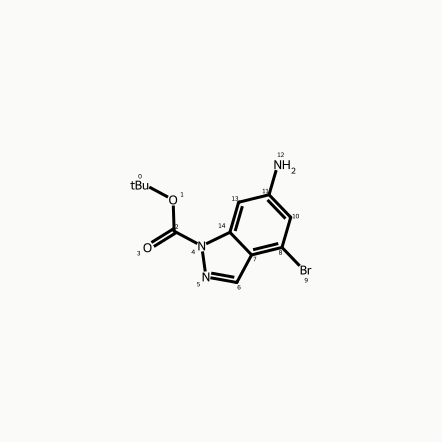 CC(C)(C)OC(=O)n1ncc2c(Br)cc(N)cc21